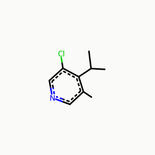 Cc1cncc(Cl)c1C(C)C